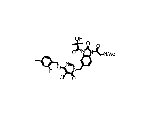 CNCC(=O)n1c(=O)n(C(=O)C(C)(C)O)c2cc(Cn3cnc(OCc4ccc(F)cc4F)c(Cl)c3=O)ccc21